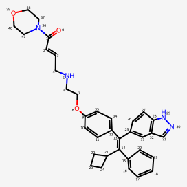 O=C(C=CCNCCOc1ccc(C(=C(c2ccccc2)C2CCC2)c2ccc3[nH]ncc3c2)cc1)N1CCOCC1